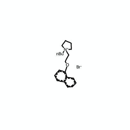 CCCC[N+]1(CCOc2cccc3ccccc23)CCCC1.[Br-]